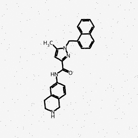 Cc1cc(C(=O)Nc2ccc3c(c2)CCNC3)nn1Cc1cccc2ccccc12